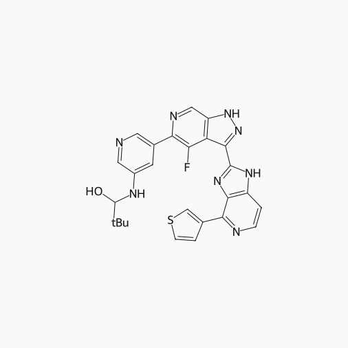 CC(C)(C)C(O)Nc1cncc(-c2ncc3[nH]nc(-c4nc5c(-c6ccsc6)nccc5[nH]4)c3c2F)c1